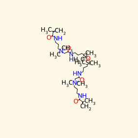 C=C(C)C(=O)NCCC[N+](C)(C)CC(=O)NCCC[Si](C)(C)O[Si](C)(C)CCCNC(=O)C[N+](C)(C)CCCNC(=O)C(=C)C